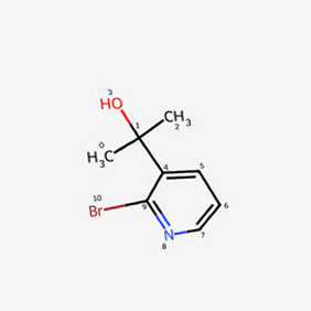 CC(C)(O)c1cccnc1Br